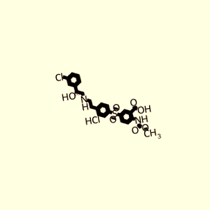 COC(=O)Nc1ccc(S(=O)(=O)c2ccc(CCNC[C@@H](O)c3cccc(Cl)c3)cc2)cc1C(=O)O.Cl